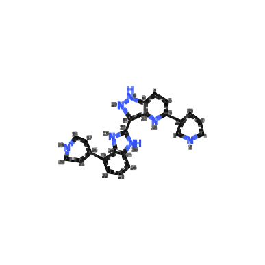 c1cncc(-c2ccc3[nH]nc(-c4nc5c(-c6ccncc6)cccc5[nH]4)c3n2)c1